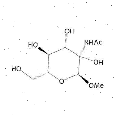 CO[C@H]1O[C@H](CO)[C@@H](O)[C@H](O)[C@]1(O)NC(C)=O